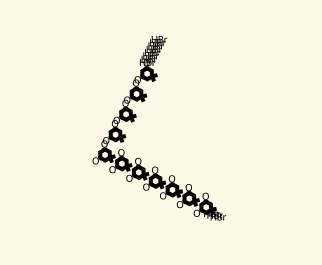 Br.Br.Br.Br.Br.Br.Br.Br.Br.Br.Br.CC1(C)CC(=O)CC(=O)C1.CC1(C)CC(=O)CC(=O)C1.CC1(C)CC(=O)CC(=O)C1.CC1(C)CC(=O)CC(=O)C1.CC1(C)CC(=O)CC(=O)C1.CC1(C)CC(=O)CC(=O)C1.CC1(C)CC(=O)CC(=O)C1.CC1(C)CC(=O)CC(=O)C1.CC1(C)CC(=O)CC(=O)C1.CC1(C)CC(=O)CC(=O)C1.CC1(C)CC(=O)CC(=O)C1